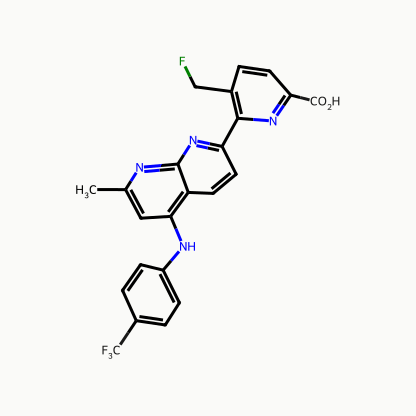 Cc1cc(Nc2ccc(C(F)(F)F)cc2)c2ccc(-c3nc(C(=O)O)ccc3CF)nc2n1